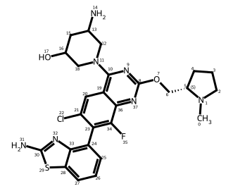 CN1CCC[C@H]1COc1nc(N2CC(N)CC(O)C2)c2cc(Cl)c(-c3cccc4sc(N)nc34)c(F)c2n1